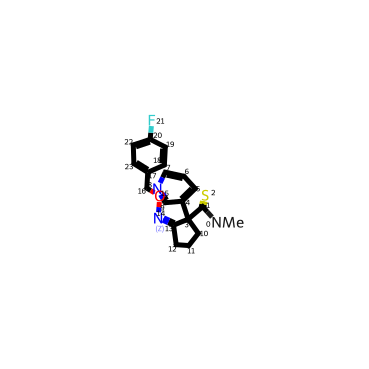 CNC(=S)C1(c2cccnc2)CCC/C1=N/OCc1ccc(F)cc1